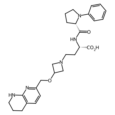 O=C(O)[C@H](CCN1CC(OCc2ccc3c(n2)NCCC3)C1)NC(=O)[C@@H]1CCCN1c1ccccc1